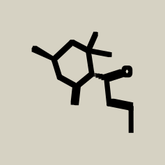 C=C1C[C@@H](C)CC(C)(C)[C@@H]1C(=O)/C=C/C